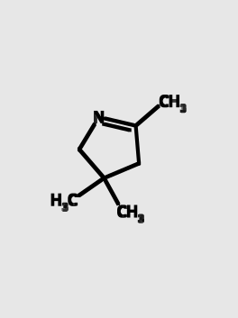 CC1=NCC(C)(C)C1